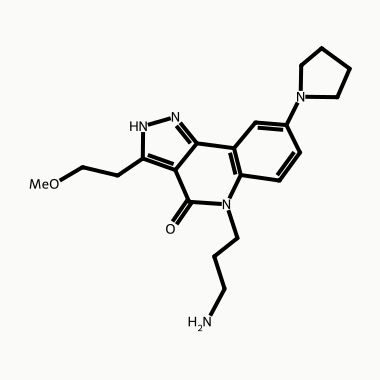 COCCc1[nH]nc2c1c(=O)n(CCCN)c1ccc(N3CCCC3)cc21